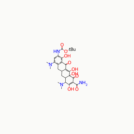 CN(C)c1cc(NC(=O)OC(C)(C)C)c(O)c2c1CC1CC3C(N(C)C)C(O)=C(C(N)=O)C(=O)C3(O)C(O)=C1C2=O